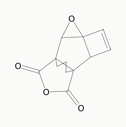 O=C1OC(=O)C23CCCC12C1C=CC12OC23